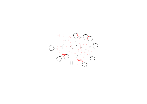 CC(=O)CCC(=O)OC1C(OCc2ccccc2)[C@@H](OC2C(OC(=O)c3ccccc3)[C@H](CO)O[C@H]2[C@@H](COC(=O)c2ccccc2)OC(=O)c2ccccc2)OC(COC(=O)c2ccccc2)[C@@H]1O[C@H]1OC(COC(=O)c2ccccc2)[C@H](OC(=O)c2ccccc2)C(OCc2ccccc2)C1OCc1ccccc1